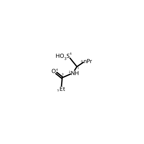 CCCC(NC(=O)CC)S(=O)(=O)O